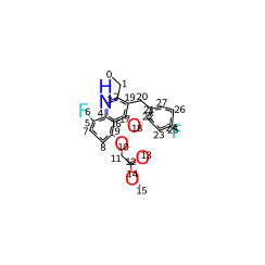 CCc1[nH]c2c(F)ccc(OCC(=O)OC)c2c(=O)c1Cc1ccc(F)cc1